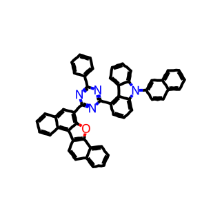 c1ccc(-c2nc(-c3cc4ccccc4c4c3oc3c5ccccc5ccc34)nc(-c3cccc4c3c3ccccc3n4-c3ccc4ccccc4c3)n2)cc1